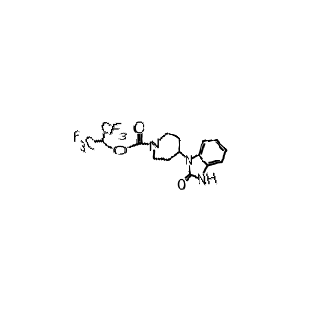 O=C(OC(C(F)(F)F)C(F)(F)F)N1CCC(n2c(=O)[nH]c3ccccc32)CC1